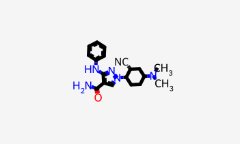 CN(C)C1CCC(n2cc(C(N)=O)c(Nc3ccccc3)n2)C(C#N)C1